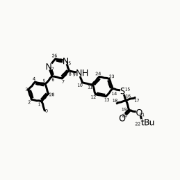 Cc1cccc(-c2cc(NCc3ccc(SC(C)(C)C(=O)OC(C)(C)C)cc3)ncn2)c1